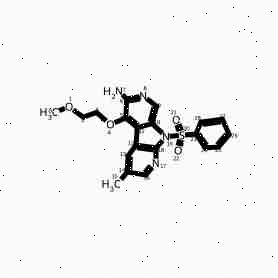 COCCOc1c(N)ncc2c1c1cc(C)cnc1n2S(=O)(=O)c1ccccc1